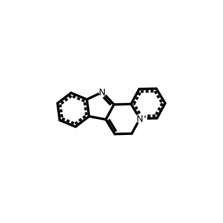 C1=C2C(=Nc3ccccc32)c2cccc[n+]2C1